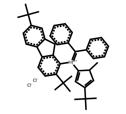 CC1C=C(C(C)(C)C)C=[C]1[Hf+2](=[C](c1ccccc1)c1ccccc1)[c]1c(C(C)(C)C)ccc2c1Cc1cc(C(C)(C)C)ccc1-2.[Cl-].[Cl-]